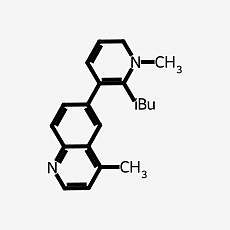 CCC(C)C1=C(c2ccc3nccc(C)c3c2)C=CCN1C